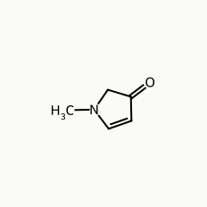 CN1C=CC(=O)C1